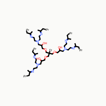 CCC(COCC(O)CN(CC/N=C(\C)CC(C)C)CC/N=C(\C)CC(C)C)(COCC(O)CN(CC/N=C(\C)CC(C)C)CC/N=C(\C)CC(C)C)COCC(O)CN(CC/N=C(\C)CC(C)C)CC/N=C(\C)CC(C)C